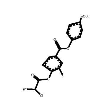 CCCCCCCCc1ccc(OC(=O)c2ccc(OC(=O)C(Cl)C(C)C)c(F)c2)cc1